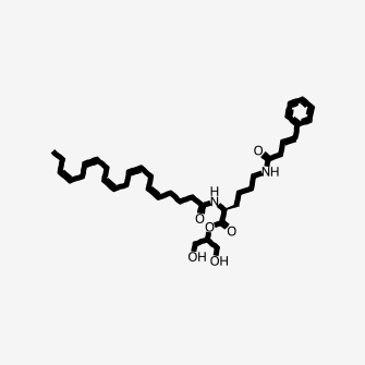 CC/C=C\C/C=C\C/C=C\C/C=C\C/C=C\CCCC(=O)N[C@@H](CCCCNC(=O)C/C=C/c1ccccc1)C(=O)OC(CO)CO